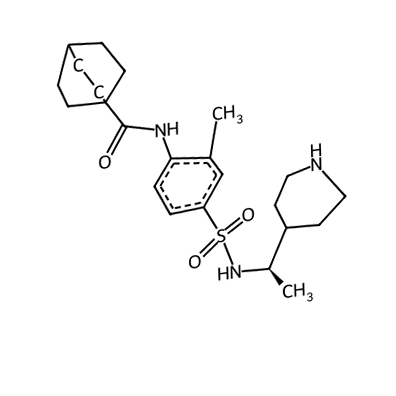 Cc1cc(S(=O)(=O)N[C@H](C)C2CCNCC2)ccc1NC(=O)C12CCC(CC1)CC2